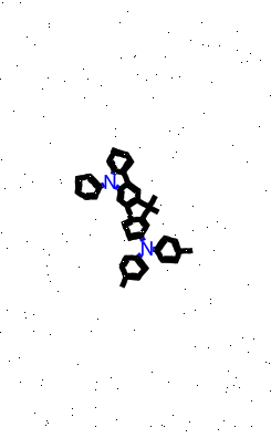 Cc1ccc(N(c2ccc(C)cc2)c2ccc3c(c2)C(C)(C)c2cc4c5ccccc5n(-c5ccccc5)c4cc2-3)cc1